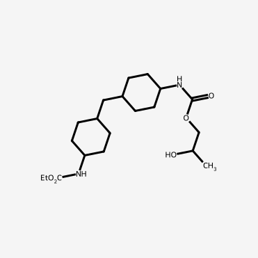 CCOC(=O)NC1CCC(CC2CCC(NC(=O)OCC(C)O)CC2)CC1